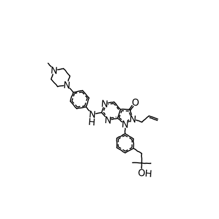 C=CCn1c(=O)c2cnc(Nc3ccc(N4CCN(C)CC4)cc3)nc2n1-c1cccc(CC(C)(C)O)c1